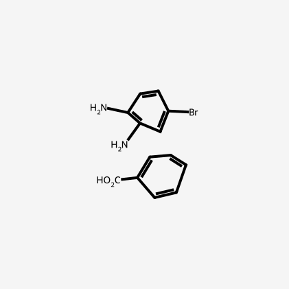 Nc1ccc(Br)cc1N.O=C(O)c1ccccc1